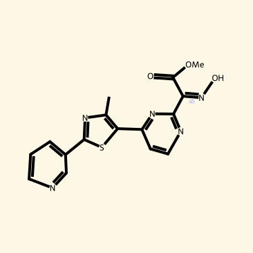 COC(=O)/C(=N\O)c1nccc(-c2sc(-c3cccnc3)nc2C)n1